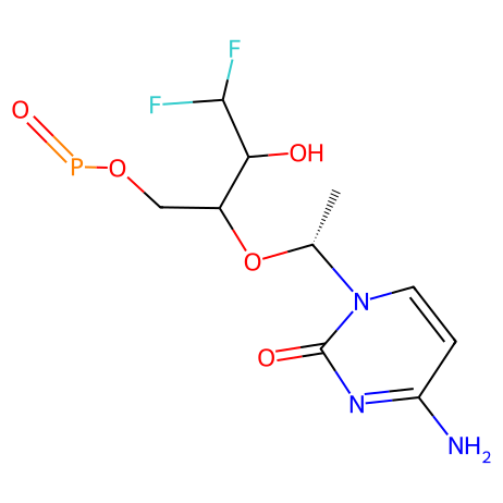 C[C@@H](OC(COP=O)C(O)C(F)F)n1ccc(N)nc1=O